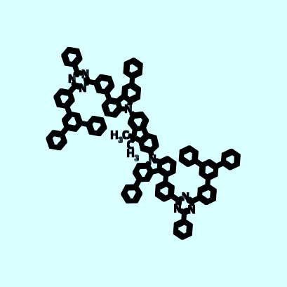 CC1(C)c2cc(-n3c4ccc(-c5ccccc5)cc4c4c(-c5cccc(-c6nc(-c7ccccc7)nc(-c7cccc(-c8cc(-c9ccccc9)cc(-c9ccccc9)c8)c7)n6)c5)cccc43)ccc2-c2ccc(-n3c4ccc(-c5ccccc5)cc4c4c(-c5cccc(-c6nc(-c7ccccc7)nc(-c7cccc(-c8cc(-c9ccccc9)cc(-c9ccccc9)c8)c7)n6)c5)cccc43)cc21